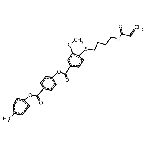 C=CC(=O)OCCCCSc1ccc(C(=O)Oc2ccc(C(=O)Oc3ccc(C)cc3)cc2)cc1OC